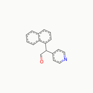 O=CC(c1ccncc1)c1cccc2ccccc12